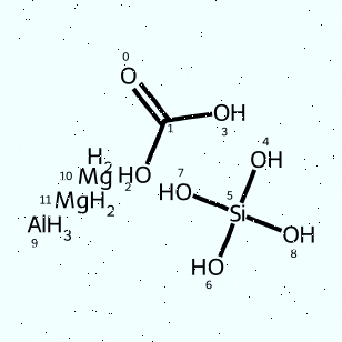 O=C(O)O.O[Si](O)(O)O.[AlH3].[MgH2].[MgH2]